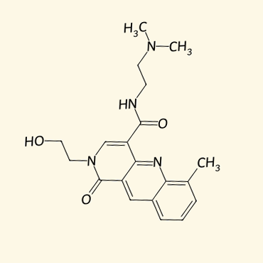 Cc1cccc2cc3c(=O)n(CCO)cc(C(=O)NCCN(C)C)c3nc12